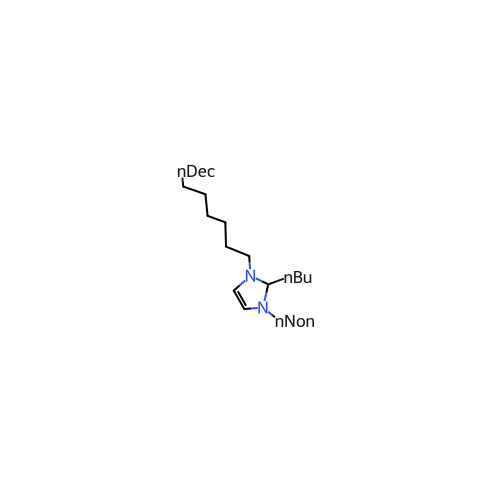 CCCCCCCCCCCCCCCCN1C=CN(CCCCCCCCC)C1CCCC